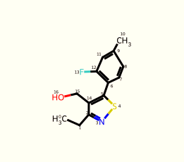 CCc1nsc(-c2ccc(C)cc2F)c1CO